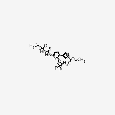 CCOC(=O)NC(=S)Nc1ccc(-c2cnn(C(C)OCC)c2)c(OCC(F)(F)F)n1